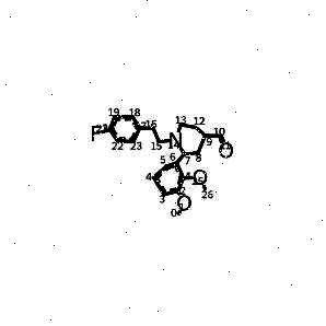 COc1cccc(C2CC(C=O)CCN2CCc2ccc(F)cc2)c1OC